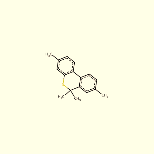 Cc1ccc2c(c1)SC(C)(C)c1cc(C)ccc1-2